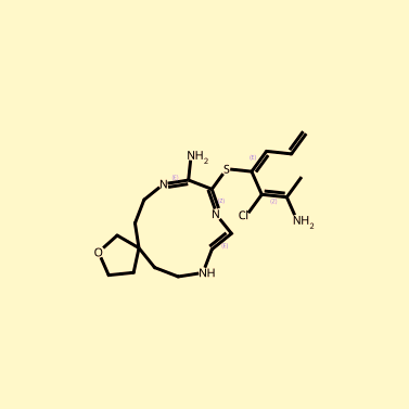 C=C/C=C(SC1=N\C=C\NCCC2(CC/N=C\1N)CCOC2)\C(Cl)=C(/C)N